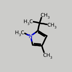 Cc1cc(C(C)(C)C)n(C)c1